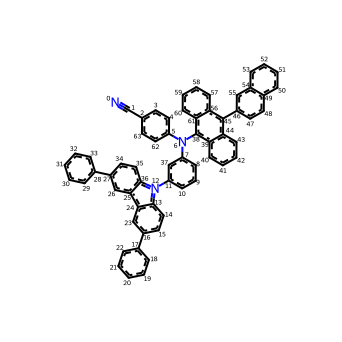 N#Cc1ccc(N(c2cccc(-n3c4ccc(-c5ccccc5)cc4c4cc(-c5ccccc5)ccc43)c2)c2c3ccccc3c(-c3ccc4ccccc4c3)c3ccccc23)cc1